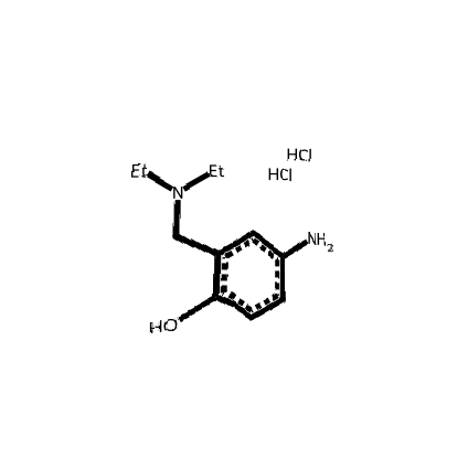 CCN(CC)Cc1cc(N)ccc1O.Cl.Cl